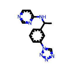 CC(Nc1ccncn1)c1cccc(-n2cnnn2)c1